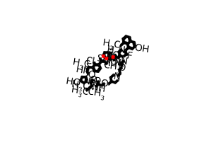 CCc1cccc2cc(O)cc(-c3ncc4c(N5C[C@H]6CC[C@@H](C5)N6C(=O)O)nc(OCCN5CCC(COCC(=O)N[C@H](C(=O)N6C[C@H](O)C[C@H]6C(=O)N[C@@H](C)c6cccc(-c7scnc7C)c6Cl)C(C)(C)C)CC5)nc4c3F)c12